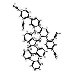 N#Cc1ccc(-c2ccc3c4ccc(-c5ccc(C#N)cc5C#N)cc4n(-c4cccc5c4C(=O)N(c4cccc(-c6ccccc6)c4-c4ccccc4)C5=O)c3c2)c(C#N)c1